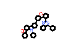 c1ccc(-c2nc(-c3cccc4oc5ccc(-c6ccc7c(c6)c6ccc8oc9ccccc9c8c6n7-c6ccccc6)cc5c34)nc3ccccc23)cc1